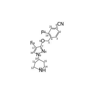 N#Cc1ccc(COc2nn(C3CCNCC3)cc2F)c(F)c1